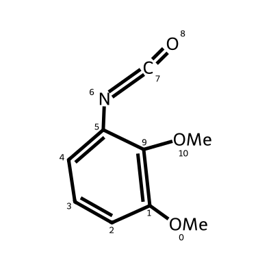 COc1cccc(N=C=O)c1OC